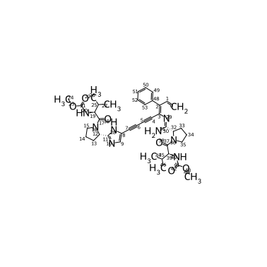 C=C/C(=C(C#CC#Cc1cnc([C@@H]2CCCN2C(=O)[C@@H](NC(=O)OC)C(C)C)[nH]1)\N=C(/N)[C@@H]1CCCN1C(=O)[C@@H](NC(=O)OC)C(C)C)c1ccccc1